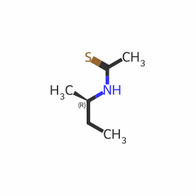 CC[C@@H](C)NC(C)=S